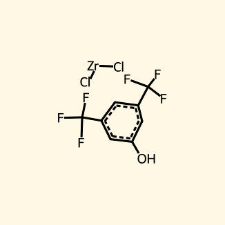 Oc1cc(C(F)(F)F)cc(C(F)(F)F)c1.[Cl][Zr][Cl]